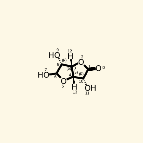 O=C1O[C@@H]2[C@@H](OC(O)[C@@H]2O)[C@H]1O